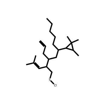 C=CCC(CC(CCCCC)C1C(C)C1(C)C)C(C=C(C)C)CSCl